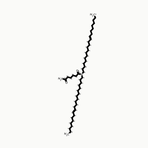 CCCCCCCCC=CCCCCCCCCCCCCN(CCCCCCCCCCCCC=CCCCCCCCC)C(=O)CCCCC(N)=O